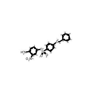 Nc1ccc(OS(=O)(=O)c2ccc(OCc3ccccc3)cc2)cc1[N+](=O)[O-]